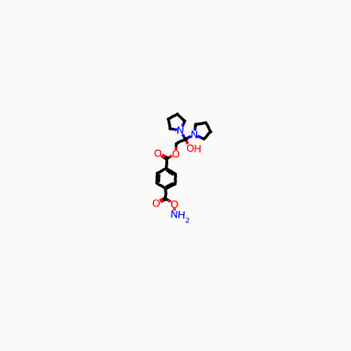 NOC(=O)c1ccc(C(=O)OCC(O)(N2CCCC2)N2CCCC2)cc1